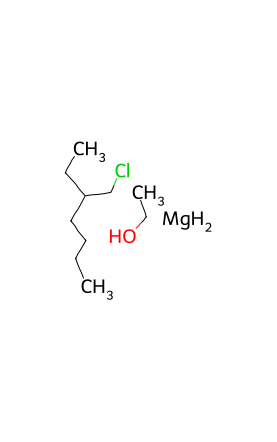 CCCCC(CC)CCl.CCO.[MgH2]